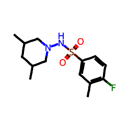 Cc1cc(S(=O)(=O)NN2CC(C)CC(C)C2)ccc1F